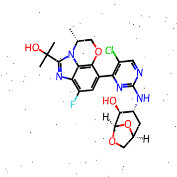 C[C@@H]1COc2c(-c3nc(N[C@@H]4C[C@H]5CO[C@H](O5)[C@H]4O)ncc3Cl)cc(F)c3nc(C(C)(C)O)n1c23